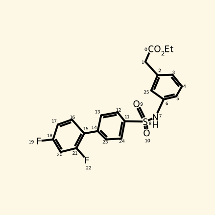 CCOC(=O)Cc1cccc(NS(=O)(=O)c2ccc(-c3ccc(F)cc3F)cc2)c1